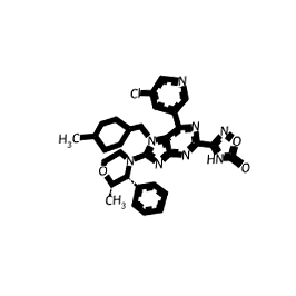 CC1CCC(Cn2c(N3CCO[C@@H](C)[C@H]3c3ccccc3)nc3nc(-c4noc(=O)[nH]4)nc(-c4cncc(Cl)c4)c32)CC1